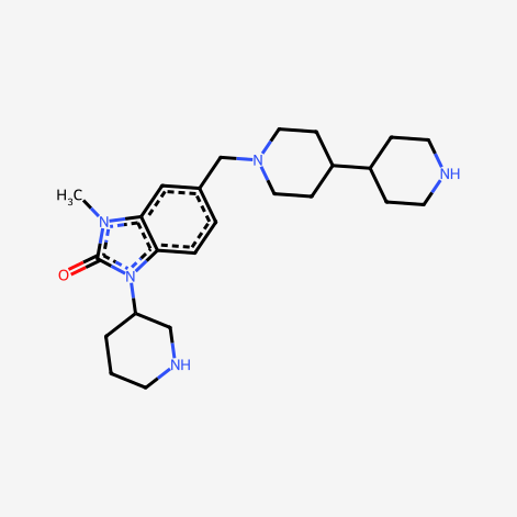 Cn1c(=O)n(C2CCCNC2)c2ccc(CN3CCC(C4CCNCC4)CC3)cc21